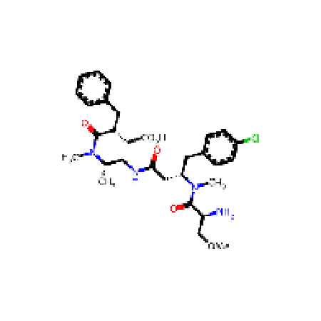 COC[C@H](N)C(=O)N(C)[C@H](CC(=O)NC[C@H](C)N(C)C(=O)[C@@H](CC(=O)O)Cc1ccccc1)Cc1ccc(Cl)cc1